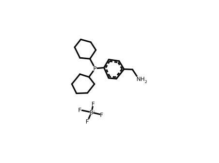 F[B-](F)(F)F.NCc1ccc(P(C2CCCCC2)C2CCCCC2)cc1